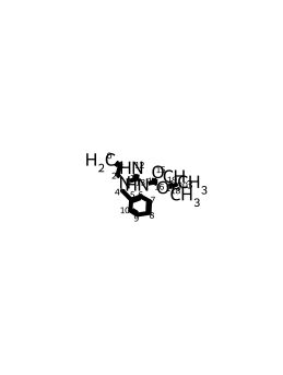 C=CCN(Cc1ccccc1)C(=N)NC(=O)OC(C)(C)C